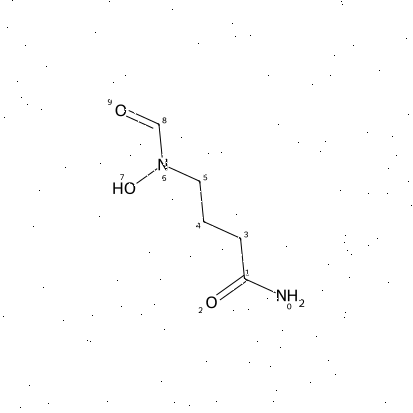 NC(=O)CCCN(O)C=O